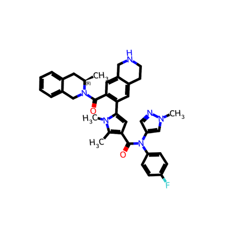 Cc1c(C(=O)N(c2ccc(F)cc2)c2cnn(C)c2)cc(-c2cc3c(cc2C(=O)N2Cc4ccccc4C[C@H]2C)CNCC3)n1C